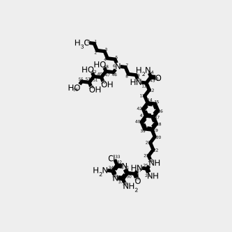 CCCCCCN(CCCNC(CCc1ccc2cc(CCCCNC(=N)NC(=O)c3nc(Cl)c(N)nc3N)ccc2c1)C(N)=O)CC(O)C(O)C(O)C(O)CO